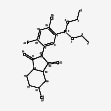 CCOP(OCC)c1cc(N2C(=O)C3CCC(Cl)CC3C2=O)c(F)cc1Cl